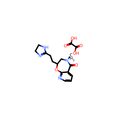 CN1CC(CCC2=NCCN2)Oc2ncccc2C1=O.O=C(O)C(=O)O